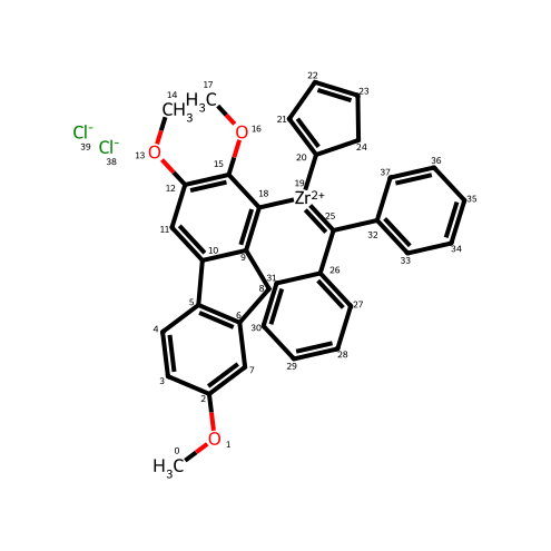 COc1ccc2c(c1)Cc1c-2cc(OC)c(OC)[c]1[Zr+2]([C]1=CC=CC1)=[C](c1ccccc1)c1ccccc1.[Cl-].[Cl-]